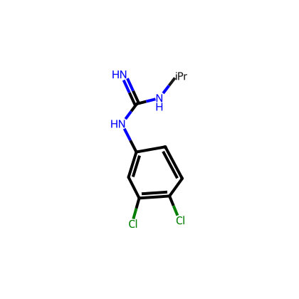 CC(C)NC(=N)Nc1ccc(Cl)c(Cl)c1